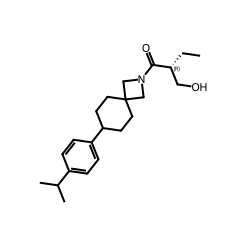 CC[C@H](CO)C(=O)N1CC2(CCC(c3ccc(C(C)C)cc3)CC2)C1